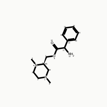 CN1CCN(C)[C@@H](COC(=O)C(N)c2ccccc2)C1